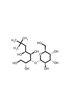 CC(C)(C)C[C@H](O)[C@@H](O)[C@H](O[C@@H]1O[C@@H](CO)[C@H](O)[C@H](O)[C@H]1O)[C@H](O)CO